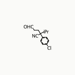 CC(C)C(C#N)(CCC=O)c1ccc(Cl)cc1